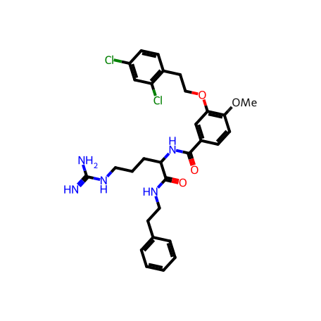 COc1ccc(C(=O)NC(CCCNC(=N)N)C(=O)NCCc2ccccc2)cc1OCCc1ccc(Cl)cc1Cl